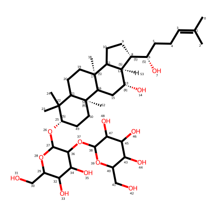 CC(C)=CCC[C@H](O)[C@H]1CCC2[C@@H]1[C@H](O)CC1[C@@]2(C)CCC2C(C)(C)[C@@H](OC3OC(CO)C(O)C(O)C3OC3OC(CO)C(O)C(O)C3O)CC[C@@]21C